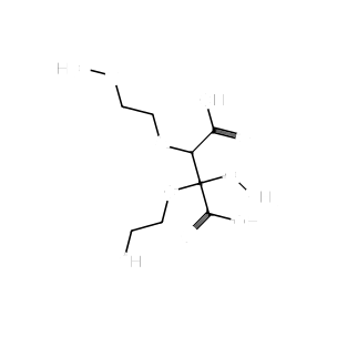 CCCOC(OC)(C(=O)O)C(OCCOC)C(=O)O